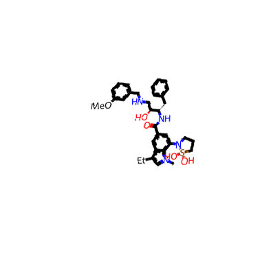 CCc1cn(C)c2c(N3CCCS3(O)O)cc(C(=O)N[C@@H](Cc3ccccc3)[C@@H](O)CNCc3cccc(OC)c3)cc12